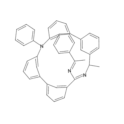 C/C(=N\C1=N/C(C)c2cccc(c2)-c2cccc(c2)N(c2ccccc2)c2cccc(c2)-c2cccc1c2)c1ccccc1